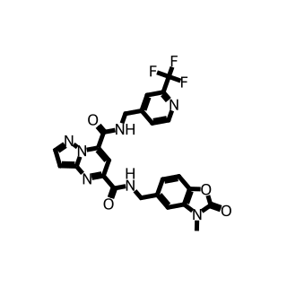 Cn1c(=O)oc2ccc(CNC(=O)c3cc(C(=O)NCc4ccnc(C(F)(F)F)c4)n4nccc4n3)cc21